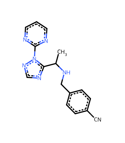 CC(NCc1ccc(C#N)cc1)c1ncnn1-c1ncccn1